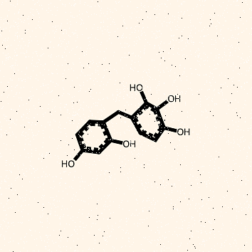 Oc1ccc(Cc2ccc(O)c(O)c2O)c(O)c1